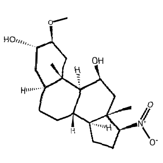 CO[C@H]1C[C@@]2(C)[C@@H](CC[C@@H]3[C@@H]2[C@@H](O)C[C@]2(C)[C@@H]([N+](=O)[O-])CC[C@@H]32)C[C@@H]1O